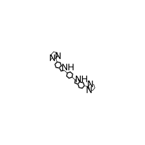 CN1CCCN=C1c1ccc2cc(-c3ccc(-c4cc5ccc(C6=NCCCN6C)cc5[nH]4)cc3)[nH]c2c1